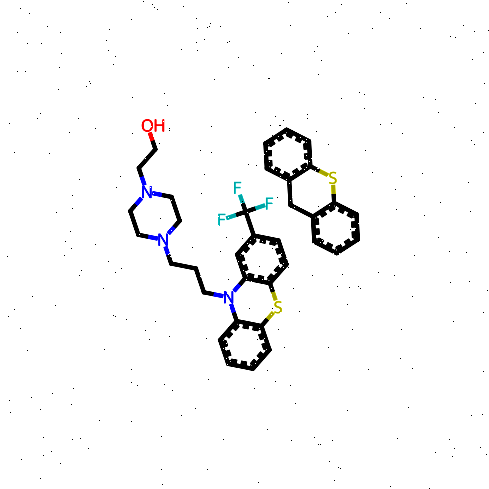 OCCN1CCN(CCCN2c3ccccc3Sc3ccc(C(F)(F)F)cc32)CC1.c1ccc2c(c1)Cc1ccccc1S2